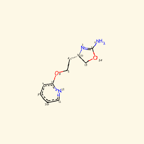 NC1=N[C@@H](CCOc2ccccn2)CO1